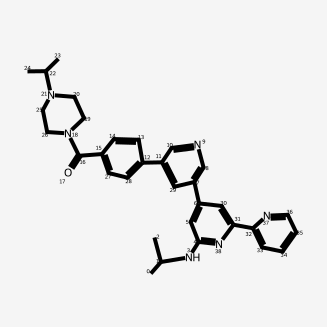 CC(C)Nc1cc(-c2cncc(-c3ccc(C(=O)N4CCN(C(C)C)CC4)cc3)c2)cc(-c2ccccn2)n1